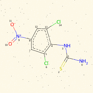 NC(=S)Nc1c(Cl)cc([N+](=O)[O-])cc1Cl